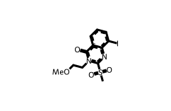 COCCn1c(S(C)(=O)=O)nc2c(I)cccc2c1=O